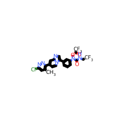 Cc1cc(Cl)nnc1-c1ccn2c(-c3cccc(N(OC(=O)C(F)(F)F)C(=O)NCC(F)(F)F)c3)cnc2c1